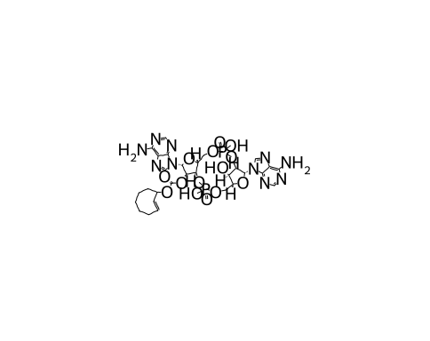 Nc1ncnc2c1ncn2[C@@H]1O[C@@H]2COP(=O)(O)O[C@H]3[C@@H](OC(=O)OC4/C=C/CCCCC4)[C@H](n4cnc5c(N)ncnc54)O[C@@H]3COP(=O)(O)O[C@@H]1[C@@H]2O